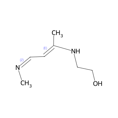 C/N=C\C=C(/C)NCCO